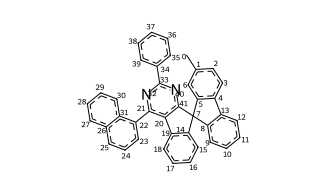 Cc1ccc2c(c1)C1(c3ccccc3-2)c2ccccc2-c2c(-c3cccc4ccccc34)nc(-c3ccccc3)nc21